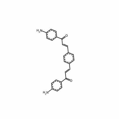 Nc1ccc(C(=O)C=Cc2ccc(C=CC(=O)c3ccc(N)cc3)cc2)cc1